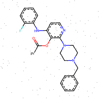 CC(C)C(=O)Oc1c(Nc2ccccc2F)ccnc1N1CCN(Cc2ccccc2)CC1